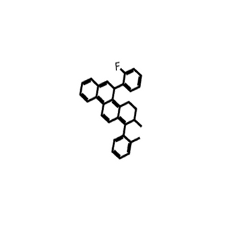 Cc1ccccc1C1=c2ccc3c(c2CCC1C)C(c1ccccc1F)C=c1ccccc1=3